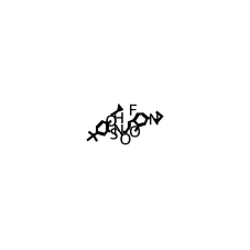 CC(C)(C)c1ccc(OCC2CC2)c(SNC(=O)c2cc3c(F)cc(N4CCC4)cc3o2)c1